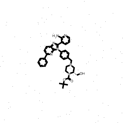 CC(C)(C)OC(=O)N1CCN(Cc2ccc(-n3c(-c4cccnc4N)nc4ccc(-c5ccccc5)nc43)cc2)C[C@@H]1CO